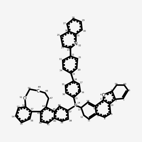 C1=Cc2c(oc3c4c(ccc23)=CCC(N(c2ccc(-c3ccc(-c5ccc6ccccc6n5)cc3)cc2)c2ccc3ccc5c(c3c2)CCCCOc2ccccc2-5)C=4)CC1